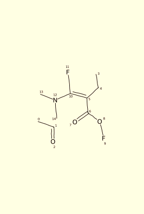 CC=O.CCC(C(=O)OF)=C(F)N(C)C